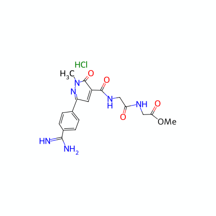 COC(=O)CNC(=O)CNC(=O)c1cc(-c2ccc(C(=N)N)cc2)nn(C)c1=O.Cl